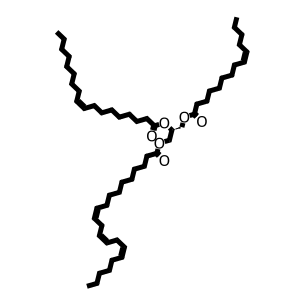 CCCC/C=C\CCCCCCCC(=O)OC[C@H](COC(=O)CCCCCCCC/C=C\C/C=C\C/C=C\CCCCC)OC(=O)CCCCCCC/C=C\CCCCCCCC